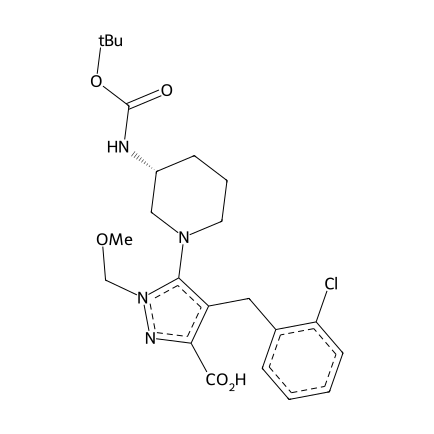 COCn1nc(C(=O)O)c(Cc2ccccc2Cl)c1N1CCC[C@@H](NC(=O)OC(C)(C)C)C1